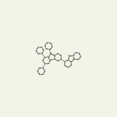 c1ccc(-c2cc(-c3ccccc3)c3c(c2)c2cc(-c4cccc5c4sc4ccccc45)ccc2n3-c2ccccc2)cc1